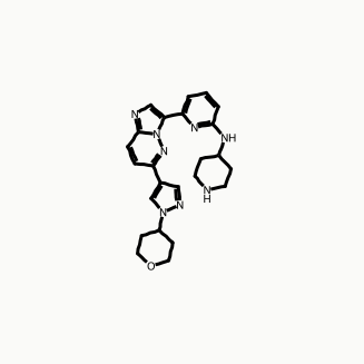 c1cc(NC2CCNCC2)nc(-c2cnc3ccc(-c4cnn(C5CCOCC5)c4)nn23)c1